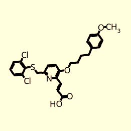 COc1ccc(CCCCOc2ccc(CSc3c(Cl)cccc3Cl)nc2/C=C/C(=O)O)cc1